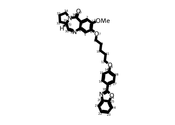 COc1cc2c(cc1OCCCCCOc1ccc(-c3nc4ccccc4o3)cc1)N=C[C@@H]1CCCN1C2=O